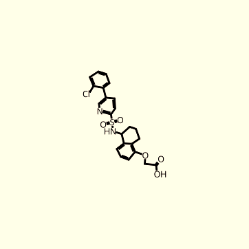 O=C(O)COc1cccc2c1CCCC2NS(=O)(=O)c1ccc(-c2ccccc2Cl)cn1